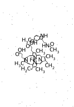 C=CC1=C(C)C2=NC/1=C\c1c(C)c(C=C)c3[n]1[Fe][n]1/c(c(C)c(CCC(=O)O)/c1=C/C1=NC(=C\3)/C(C)=C1CCC(=O)O)=C\2.COc1ccc2[nH]cc(CCNC(C)=O)c2c1